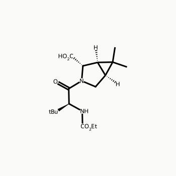 CCOC(=O)N[C@H](C(=O)N1C[C@H]2[C@@H]([C@H]1C(=O)O)C2(C)C)C(C)(C)C